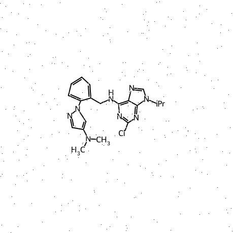 CC(C)n1cnc2c(NCc3ccccc3-n3cc(N(C)C)cn3)nc(Cl)nc21